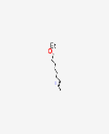 C/C=C/CCCCCCOCC